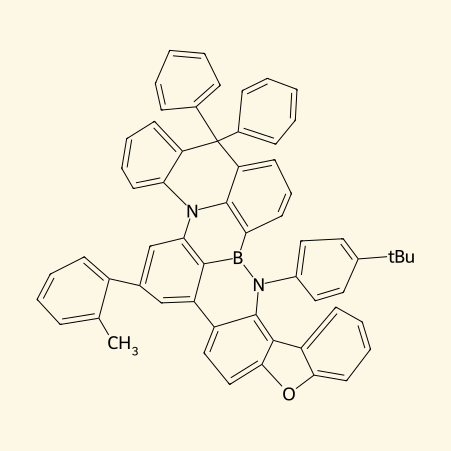 Cc1ccccc1-c1cc2c3c(c1)N1c4ccccc4C(c4ccccc4)(c4ccccc4)c4cccc(c41)B3N(c1ccc(C(C)(C)C)cc1)c1c-2ccc2oc3ccccc3c12